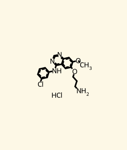 COc1cc2ncnc(Nc3cccc(Cl)c3)c2cc1OCCCN.Cl